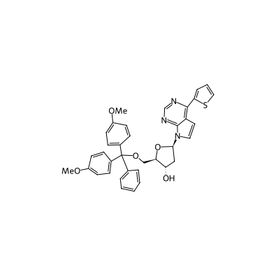 COc1ccc(C(OC[C@H]2O[C@@H](n3ccc4c(-c5cccs5)ncnc43)C[C@@H]2O)(c2ccccc2)c2ccc(OC)cc2)cc1